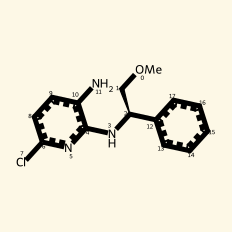 COC[C@H](Nc1nc(Cl)ccc1N)c1ccccc1